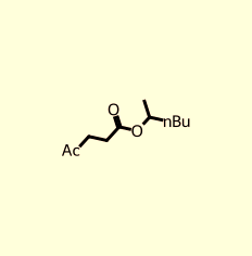 CCCCC(C)OC(=O)CCC(C)=O